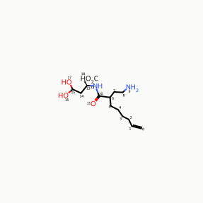 C=CCCCCC(CCN)C(=O)N[C@@H](CC(O)O)C(=O)O